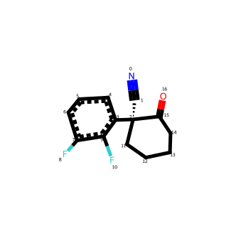 N#C[C@@]1(c2cccc(F)c2F)CCCCC1=O